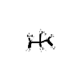 CCC(=O)C(C)(C)C(N)=O